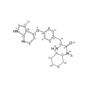 Cc1c[nH]c2nccc(Oc3ccc(CC(N)C(=O)N(C)C4CCCCC4)cc3)c12